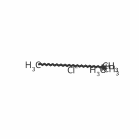 CCCCCCCCCCCCCCCCCCCCCCCCCCCCCCCC[N+](C)(C)C.[Cl-]